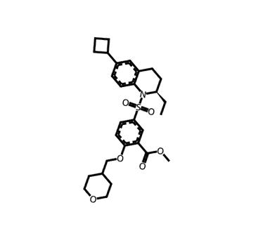 CC[C@@H]1CCc2cc(C3CCC3)ccc2N1S(=O)(=O)c1ccc(OCC2CCOCC2)c(C(=O)OC)c1